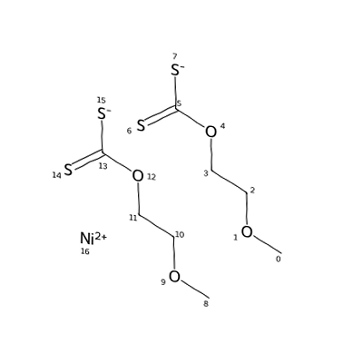 COCCOC(=S)[S-].COCCOC(=S)[S-].[Ni+2]